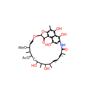 COC1/C=C/OC2(C)Oc3c(C)c(O)c4c(O)c(cc(O)c4c3C2=O)NC(=O)/C(C)=C\C=C\C(C)C(O)C(C)C(O)CC(OC(C)=O)C1C